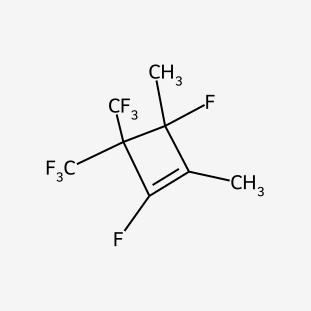 CC1=C(F)C(C(F)(F)F)(C(F)(F)F)C1(C)F